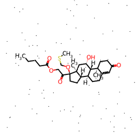 CCCCC(=O)OCC(=O)[C@@]1(OCSC)CC[C@H]2[C@@H]3CCC4=CC(=O)CC[C@]4(C)[C@H]3[C@@H](O)C[C@@]21C